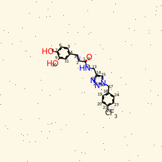 O=C(/C=C/c1ccc(O)c(O)c1)NCc1cn(Cc2ccc(C(F)(F)F)cc2)nn1